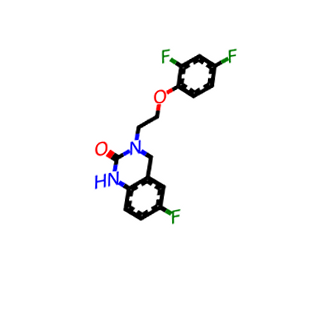 O=C1Nc2ccc(F)cc2CN1CCOc1ccc(F)cc1F